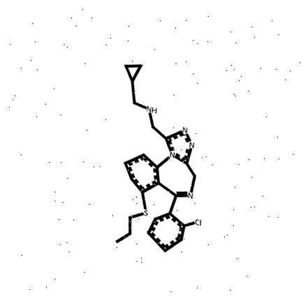 CCCSc1cccc2c1C(c1ccccc1Cl)=NCc1nnc(CNCC3CC3)n1-2